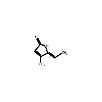 C/C=C1\NC(=O)C=C1C